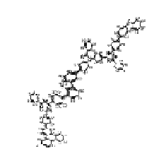 c1ccc(-c2nc(-c3ccc(-c4ccc5c6ccccc6c6ccccc6c5c4)cc3)nc(-c3ccc(-c4cccc5c4sc4ccc(-c6ccc7c(c6)nc(-c6ccccc6)n7-c6ccc(-c7nc(-c8ccccc8)nc(-c8ccc(-c9ccc%10sc%11ccccc%11c%10c9)cc8)n7)cc6)cc45)cc3)n2)cc1